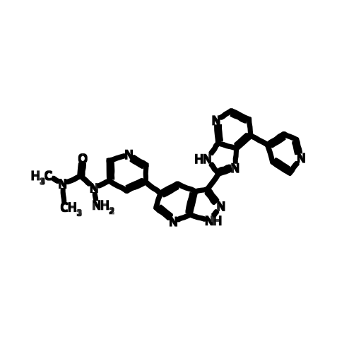 CN(C)C(=O)N(N)c1cncc(-c2cnc3[nH]nc(-c4nc5c(-c6ccncc6)ccnc5[nH]4)c3c2)c1